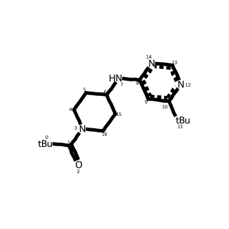 CC(C)(C)C(=O)N1CCC(Nc2cc(C(C)(C)C)ncn2)CC1